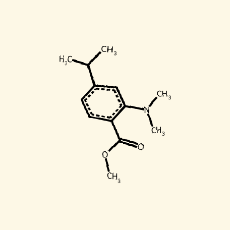 COC(=O)c1ccc(C(C)C)cc1N(C)C